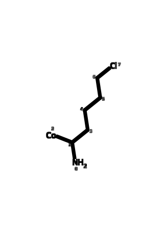 N[CH]([Co])CCCCCl